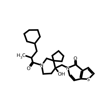 CC(CC1CCCCC1)C(=O)N1CCC(O)(Cn2ccc3sccc3c2=O)C2(CCCC2)C1